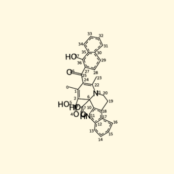 CC1=C(C(=O)O)C2(C(=O)O)c3[nH]c4ccccc4c3CCN2C(C)=C1C(=O)c1ccc2ccccc2c1O